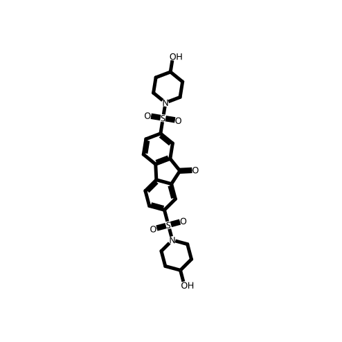 O=C1c2cc(S(=O)(=O)N3CCC(O)CC3)ccc2-c2ccc(S(=O)(=O)N3CCC(O)CC3)cc21